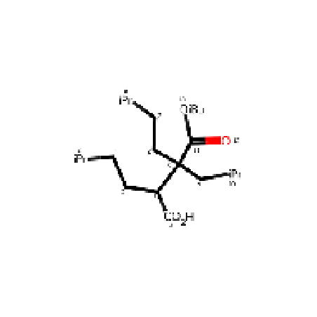 CC(C)CCC(C(=O)O)C(CCC(C)C)(CC(C)C)C(=O)OCC(C)C